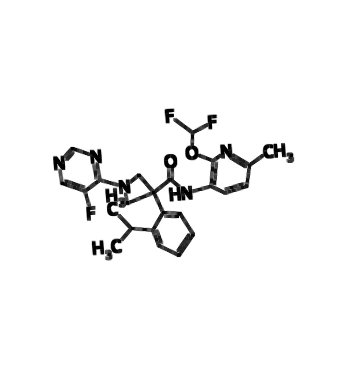 Cc1ccc(NC(=O)C2(c3ccccc3C(C)C)CN(c3ncncc3F)C2)c(OC(F)F)n1